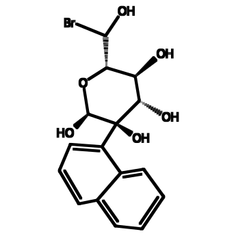 OC(Br)[C@H]1O[C@H](O)[C@@](O)(c2cccc3ccccc23)[C@@H](O)[C@@H]1O